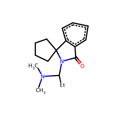 CCC(N(C)C)N1C(=O)c2ccccc2C12CCCC2